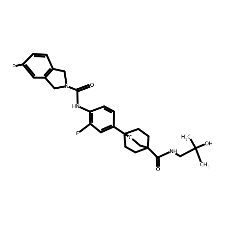 CC(C)(O)CNC(=O)C12CCC(c3ccc(NC(=O)N4Cc5ccc(F)cc5C4)c(F)c3)(CC1)CC2